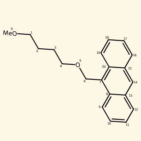 COCCCCOCc1c2ccccc2cc2ccccc12